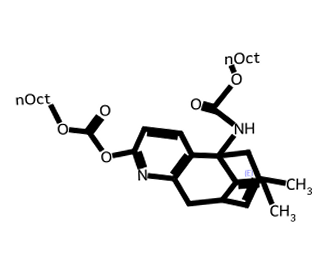 C/C=C1\C2C=C(C)CC1(NC(=O)OCCCCCCCC)c1ccc(OC(=O)OCCCCCCCC)nc1C2